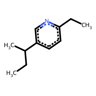 CCc1ccc(C(C)CC)cn1